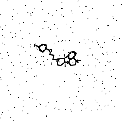 CN1CCN2c3c1cccc3[C@]1(C)CN(CCCOc3ccc(F)cc3)CC[C@]21C